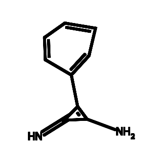 N=c1c(N)c1-c1ccccc1